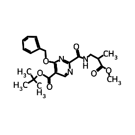 COC(=O)C(C)CNC(=O)c1ncc(C(=O)OC(C)(C)C)c(OCc2ccccc2)n1